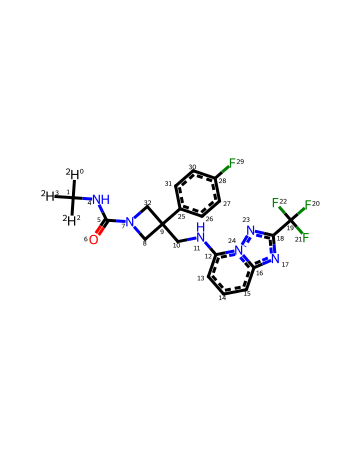 [2H]C([2H])([2H])NC(=O)N1CC(CNc2cccc3nc(C(F)(F)F)nn23)(c2ccc(F)cc2)C1